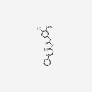 COc1cc(CC(=O)NC(=N)/C=C\Nc2ccccc2)ccc1O